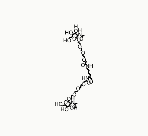 CC(=O)N[C@H]1C(OCCOCCOCCOCC(=O)NCCCCC(C=O)NC(=O)COCCOCCOCCOC2OC(CO)C(O)C(O)[C@H]2NC(C)=O)OC(CO)C(O)C1O